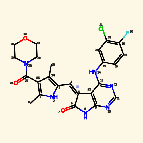 Cc1[nH]c(/C=C2\C(=O)Nc3ncnc(Nc4ccc(F)c(Cl)c4)c32)c(C)c1C(=O)N1CCOCC1